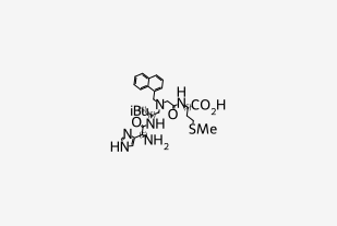 CC[C@H](C)[C@@H](CN(CC(=O)N[C@@H](CCSC)C(=O)O)Cc1cccc2ccccc12)NC(=O)[C@@H](N)c1c[nH]cn1